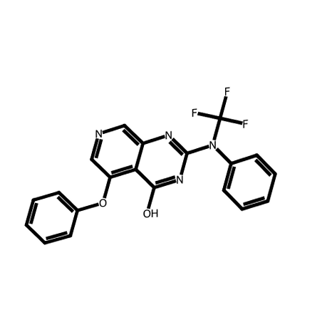 Oc1nc(N(c2ccccc2)C(F)(F)F)nc2cncc(Oc3ccccc3)c12